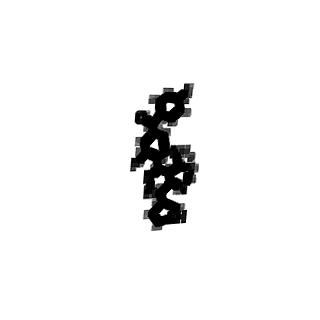 CCC(c1ncnc(N)c1/C(=N\C)c1ccc(C(=O)c2ccc(F)cc2)cc1F)C1CCNC1